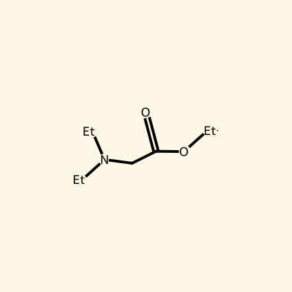 C[CH]OC(=O)CN(CC)CC